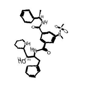 C[C@@H](NC(=O)c1cc(C(=O)NC(Cc2ccccc2)[C@H](O)C2CCCCN2)cc(N(C)S(C)(=O)=O)c1)c1ccccc1